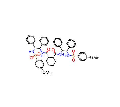 COc1ccc(S(=O)(=O)N[C@H](c2ccccc2)[C@H](NC(=O)[C@H]2CCCC[C@@H]2C(=O)N[C@H](c2ccccc2)[C@H](NS(=O)(=O)c2ccc(OC)cc2)c2ccccc2)c2ccccc2)cc1